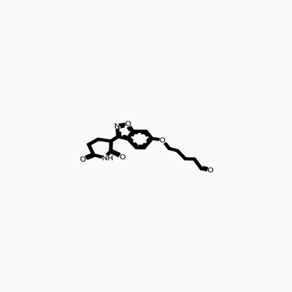 O=CCCCCOc1ccc2c(C3CCC(=O)NC3=O)noc2c1